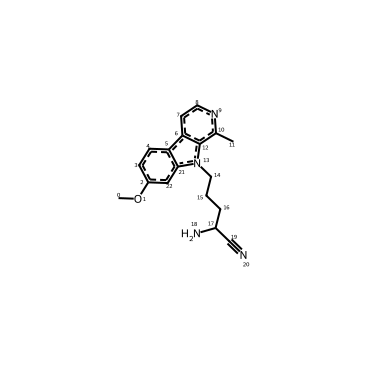 COc1ccc2c3ccnc(C)c3n(CCCC(N)C#N)c2c1